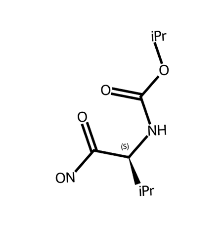 CC(C)OC(=O)N[C@H](C(=O)N=O)C(C)C